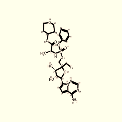 C[C@H](NP(=O)(OC[C@@]1(CF)O[C@@H](c2ccc3c(N)ncnn23)[C@H](O)[C@@H]1O)Oc1ccccc1)C(=O)OC1CCOCC1